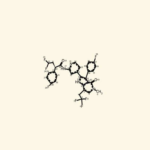 Cn1cc(CC(F)(F)F)c2[nH]c(-c3ccnc(NC(=O)[C@H](CC(F)F)c4ccc(F)cc4)c3)c(-c3ccc(F)cc3)c2c1=O